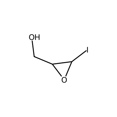 OCC1OC1I